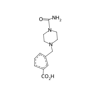 NC(=O)N1CCN(Cc2cccc(C(=O)O)c2)CC1